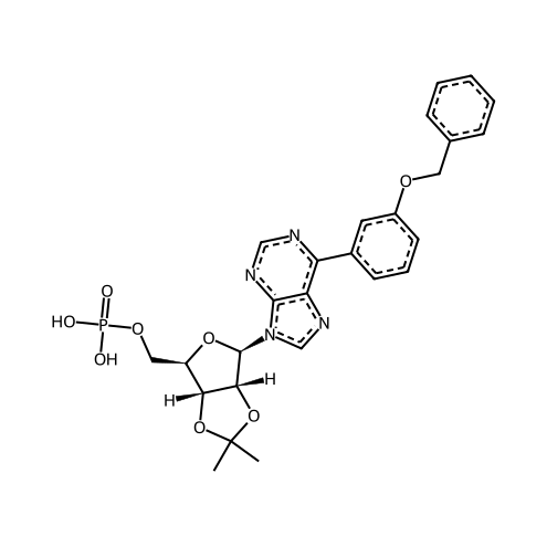 CC1(C)O[C@@H]2[C@H](O1)[C@@H](COP(=O)(O)O)O[C@H]2n1cnc2c(-c3cccc(OCc4ccccc4)c3)ncnc21